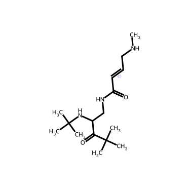 CNC/C=C/C(=O)NCC(NC(C)(C)C)C(=O)C(C)(C)C